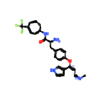 C/N=C\C=C(\Oc1ccc(CC(N)C(=O)NC2=CC=C(C(F)(F)F)C=CC2)cc1)c1cc[nH]c1